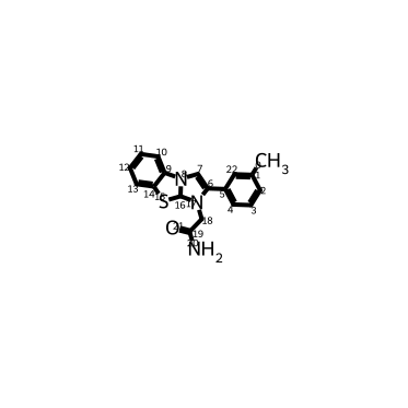 Cc1cccc(C2=CN3c4ccccc4SC3N2CC(N)=O)c1